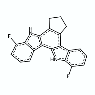 Fc1cccc2c1[nH]c1c2c2c(c3[nH]c4c(F)cccc4c31)CCC2